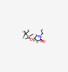 CCN1C[C@H](O[Si](C)(C)C(C)(C)C)CC1=O